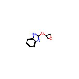 c1ccc2[nH]c(OC3COC3)nc2c1